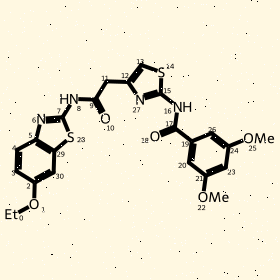 CCOc1ccc2nc(NC(=O)Cc3csc(NC(=O)c4cc(OC)cc(OC)c4)n3)sc2c1